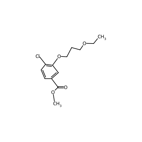 CCOCCCOc1cc(C(=O)OC)ccc1Cl